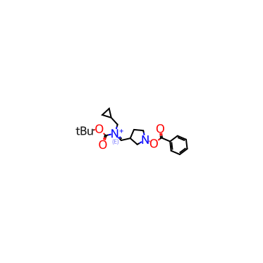 CC(C)(C)OC(=O)/[N+](=C/C1CCN(OC(=O)c2ccccc2)C1)CC1CC1